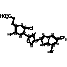 O=C(O)CCc1cc(Cl)c(-c2nc(-c3cn4cc(C(F)(F)F)cc(Br)c4n3)no2)cc1F